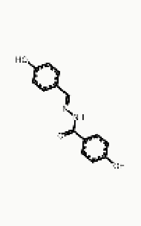 O=C(N/N=C/c1ccc(O)cc1)c1ccc(O)cc1